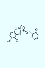 COc1ccc(Cl)c(N=C2NCCN2OCC2=CC=CCN2[O])c1Cl